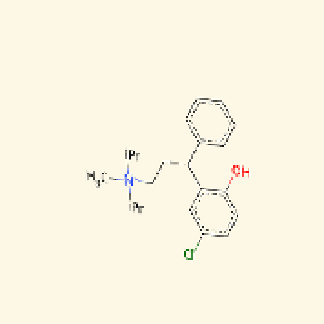 CC(C)[N+](C)(CC[C@H](c1ccccc1)c1cc(Cl)ccc1O)C(C)C